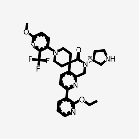 CCOc1ncccc1-c1ccc2c(n1)CN([C@@H]1CCNC1)C(=O)C21CCN(c2ccc(OC)nc2C(F)(F)F)CC1